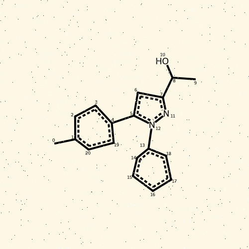 Cc1ccc(-c2cc(C(C)O)nn2-c2ccccc2)cc1